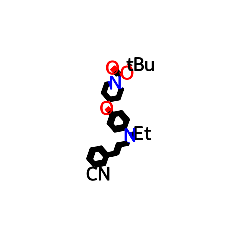 CCN(C/C=C/c1cccc(C#N)c1)c1ccc(OC2CCN(C(=O)OC(C)(C)C)CC2)cc1